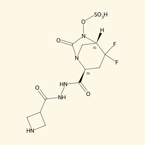 O=C(NNC(=O)[C@@H]1CC(F)(F)[C@@H]2CN1C(=O)N2OS(=O)(=O)O)C1CNC1